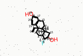 C=CC12CC[C@]3(C)[C@@H](F)[C@H](O)C[C@H]3[C@@H]1CCc1cc(O)ccc12